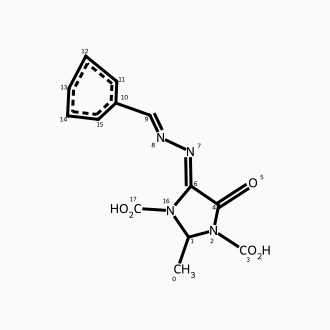 CC1N(C(=O)O)C(=O)C(=NN=Cc2ccccc2)N1C(=O)O